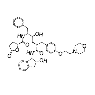 O=C1CC[C@@H](C(=O)N[C@@H](Cc2ccccc2)[C@@H](O)C[C@@H](Cc2ccc(OCCN3CCOCC3)cc2)C(=O)N[C@H]2c3ccccc3C[C@H]2O)O1